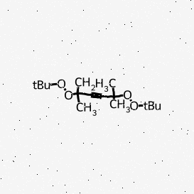 [CH2]C(C)(C#CC(C)(C)OOC(C)(C)C)OOC(C)(C)C